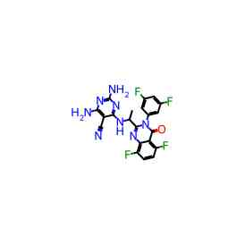 CC(Nc1nc(N)nc(N)c1C#N)c1nc2c(F)ccc(F)c2c(=O)n1-c1cc(F)cc(F)c1